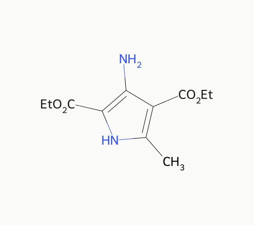 CCOC(=O)c1[nH]c(C)c(C(=O)OCC)c1N